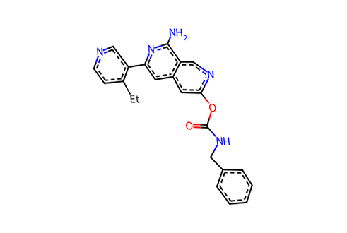 CCc1ccncc1-c1cc2cc(OC(=O)NCc3ccccc3)ncc2c(N)n1